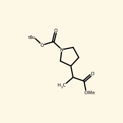 COC(=O)C(C)C1CCN(C(=O)OC(C)(C)C)C1